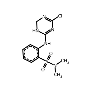 CN(C)S(=O)(=O)c1ccccc1NC1=NC(Cl)=NCN1